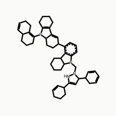 C1=CCC(C2C=C(C3C=CCCC3)NN2CN2c3cccc(C4C=C5C6=C(CCCC6)N(C6=C7CCC=CC7CCC6)C5CC4)c3C3CCCCC32)C=C1